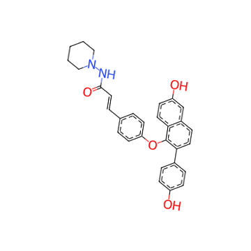 O=C(C=Cc1ccc(Oc2c(-c3ccc(O)cc3)ccc3cc(O)ccc23)cc1)NN1CCCCC1